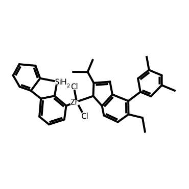 CCc1ccc2c(c1-c1cc(C)cc(C)c1)C=C(C(C)C)[CH]2[Zr]([Cl])([Cl])[c]1cccc2c1[SiH2]c1ccccc1-2